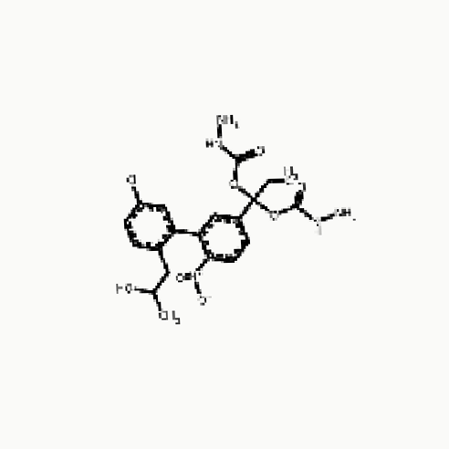 CCC(OC(=O)NN)(OC(=O)NN)c1ccc([N+](=O)[O-])c(-c2cc(Cl)ccc2CC(C)O)c1